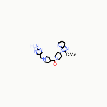 COc1nc2cccnc2n1C1CCN(C(=O)C2CCN(Cc3cnc(N)nc3)CC2)CC1